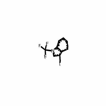 FC(F)(F)n1cc(CI)c2ccccc21